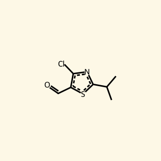 CC(C)c1nc(Cl)c(C=O)s1